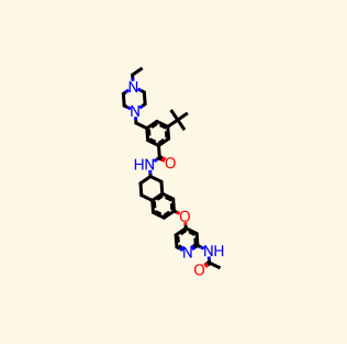 CCN1CCN(Cc2cc(C(=O)NC3CCc4ccc(Oc5ccnc(NC(C)=O)c5)cc4C3)cc(C(C)(C)C)c2)CC1